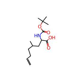 C=CCCC(C)CC(NC(=O)OC(C)(C)C)C(=O)O